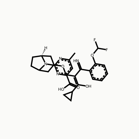 Cc1cc(C(=O)O)nc(N2C3CC[C@H]2CC(OC/C(C(=N)c2ccccc2OC(F)F)=C(/O)C2CC2)C3)n1